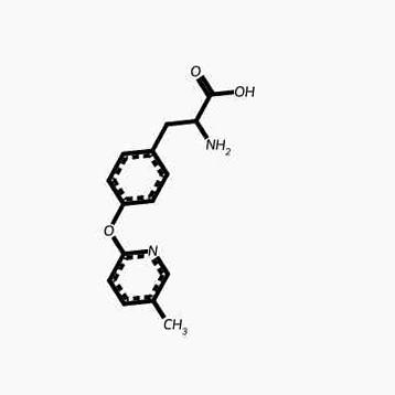 Cc1ccc(Oc2ccc(CC(N)C(=O)O)cc2)nc1